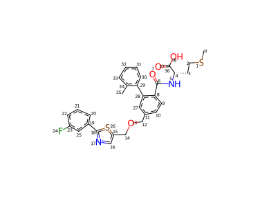 CSCC[C@H](NC(=O)c1ccc(COCc2cnc(-c3cccc(F)c3)s2)cc1-c1ccccc1C)C(=O)O